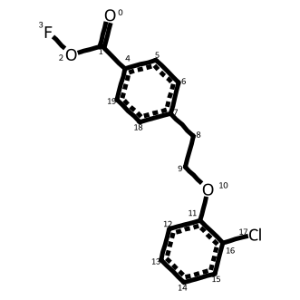 O=C(OF)c1ccc(CCOc2ccccc2Cl)cc1